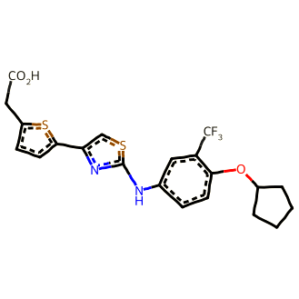 O=C(O)Cc1ccc(-c2csc(Nc3ccc(OC4CCCC4)c(C(F)(F)F)c3)n2)s1